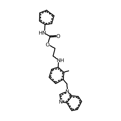 Cc1c(Cn2cnc3ccccc32)cccc1NCCOC(=O)Nc1ccccc1